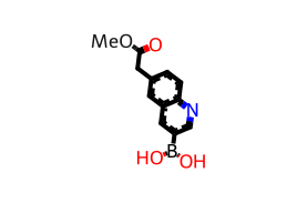 COC(=O)Cc1ccc2ncc(B(O)O)cc2c1